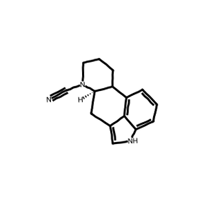 N#CN1CCCC2c3cccc4[nH]cc(c34)C[C@H]21